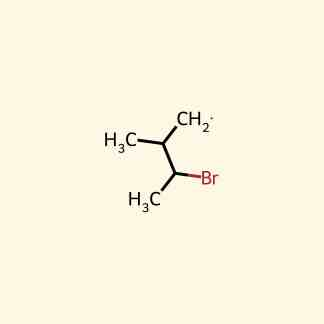 [CH2]C(C)C(C)Br